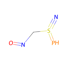 N#S(=P)CN=O